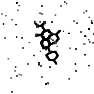 CC1COc2c(N3CCN(C)CC3)ccc3c(=O)c(C(=O)OF)cn1c23